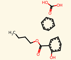 CCCCOC(=O)c1ccccc1O.O=C(O)O.c1ccccc1